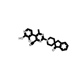 Cc1nc(N2CCC3(CC2)Cc2ccccc2C3=O)nc(C#N)c1-c1ccnc(O)c1Cl